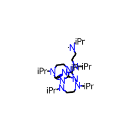 CC(C)[N]CCN(C(C)C)C1N=C2N(C(C)C)CCN(C(C)C)C3N2N(C(C)C)CCN(C(C)C)N13